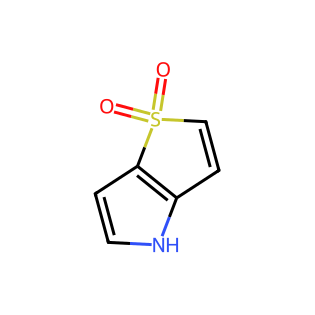 O=S1(=O)C=Cc2[nH]ccc21